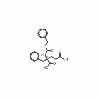 O=C(O)CC[C@@](Cc1ccccc1)(NC(=O)OCc1ccccc1)C(=O)O